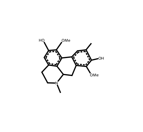 COc1c(O)c(C)cc2c1CC1c3c(cc(O)c(OC)c3-2)CCN1C